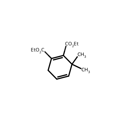 CCOC(=O)C1=C(C(=O)OCC)C(C)(C)C=CC1